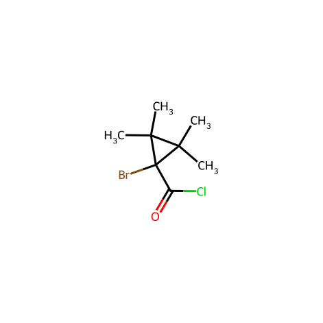 CC1(C)C(C)(C)C1(Br)C(=O)Cl